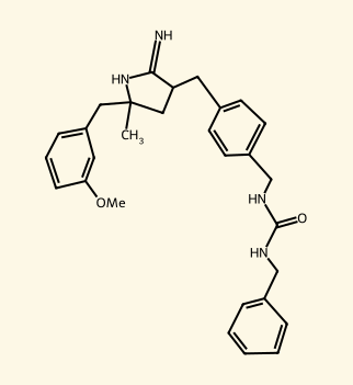 COc1cccc(CC2(C)CC(Cc3ccc(CNC(=O)NCc4ccccc4)cc3)C(=N)N2)c1